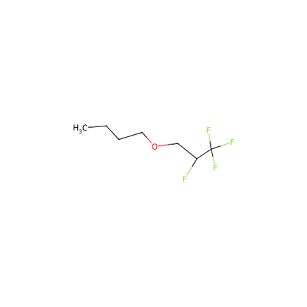 CCCCOCC(F)C(F)(F)F